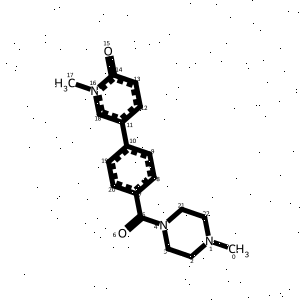 CN1CCN(C(=O)c2ccc(-c3ccc(=O)n(C)c3)cc2)CC1